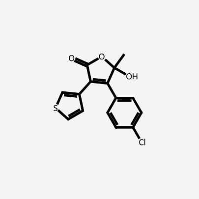 CC1(O)OC(=O)C(c2ccsc2)=C1c1ccc(Cl)cc1